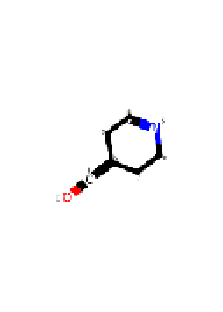 O=C=C1CC=NCC1